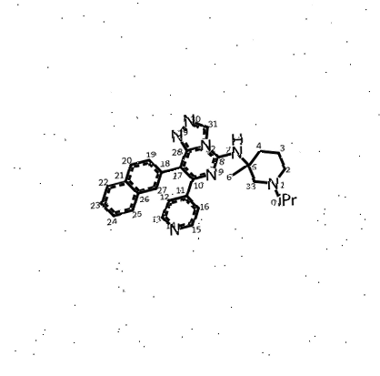 CC(C)N1CCCC(C)(Nc2nc(-c3ccncc3)c(-c3ccc4ccccc4c3)c3nncn23)C1